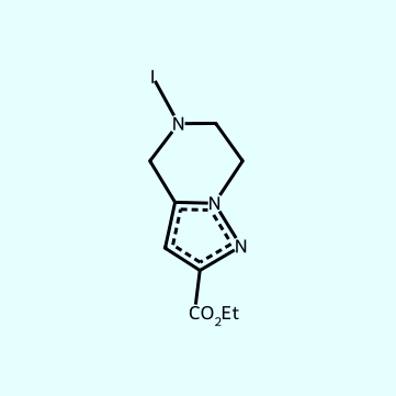 CCOC(=O)c1cc2n(n1)CCN(I)C2